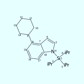 CC(C)[Si](C(C)C)(C(C)C)n1ccc2c(C3CCCCC3)cccc21